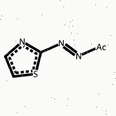 CC(=O)N=Nc1nccs1